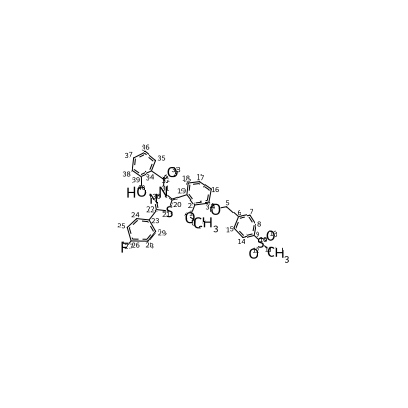 COc1c(OCc2ccc(S(C)(=O)=O)cc2)cccc1C1SC(c2ccc(F)cc2)=NN1C(=O)c1ccccc1O